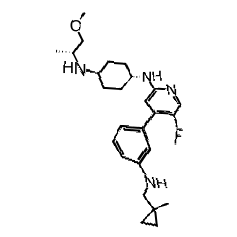 COC[C@@H](C)N[C@H]1CC[C@H](Nc2cc(-c3cccc(NCC4(C)CC4)c3)c(F)cn2)CC1